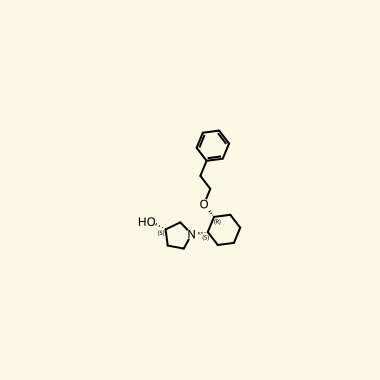 O[C@H]1CCN([C@H]2CCCC[C@H]2OCCc2ccccc2)C1